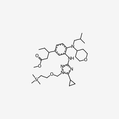 CCC(CC(=O)OC)c1ccc(N(CC(C)C)C2CCOCC2)c(Nc2nc(C3CC3)n(COCC[Si](C)(C)C)n2)c1